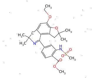 CCOc1cc2c(c3c1OC(C)(C)C3)C(c1ccc(C(=O)OC)c(NS(C)(=O)=O)c1)=NC(C)(C)C2